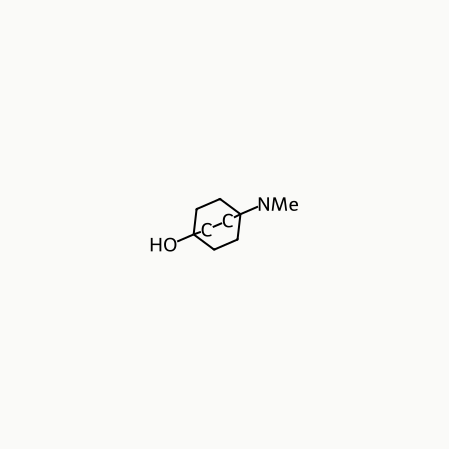 CNC12CCC(O)(CC1)CC2